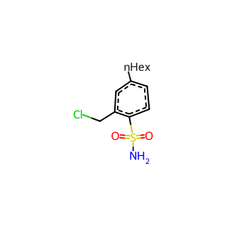 CCCCCCc1ccc(S(N)(=O)=O)c(CCl)c1